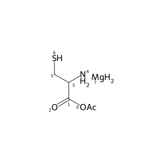 CC(=O)OC(=O)C(N)CS.[MgH2]